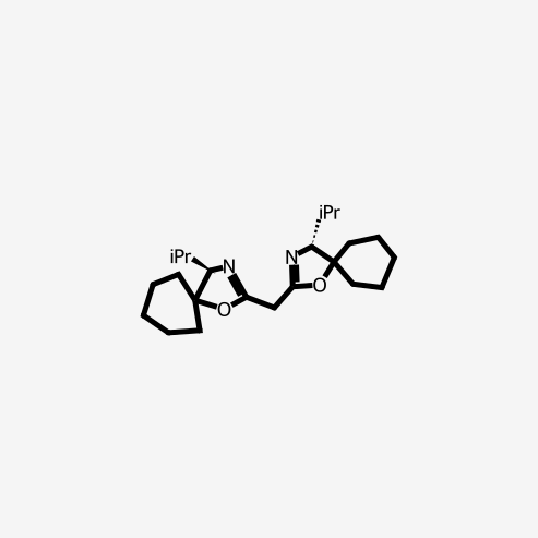 CC(C)[C@H]1N=C(CC2=N[C@H](C(C)C)C3(CCCCC3)O2)OC12CCCCC2